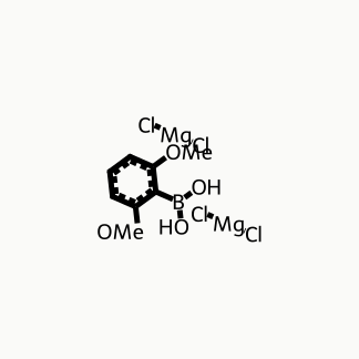 COc1cccc(OC)c1B(O)O.[Cl][Mg][Cl].[Cl][Mg][Cl]